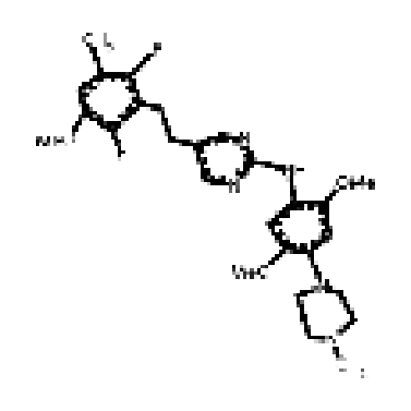 COc1cc(N2CCN(C)CC2)c(OC)cc1Nc1ncc(CCc2c(F)c(C)cc(OC)c2F)cn1